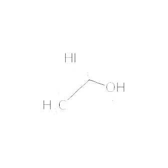 CCO.I